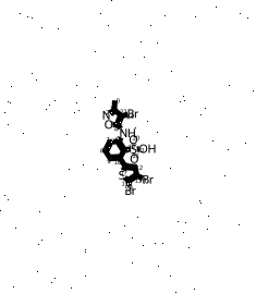 Cc1noc(Nc2cccc(-c3cc(Br)c(Br)s3)c2S(=O)(=O)O)c1Br